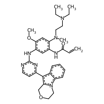 C=CC(=O)Nc1cc(Nc2nccc(-c3c4n(c5ccccc35)CCOC4)n2)c(OC)cc1N(C)CCN(CC)CC